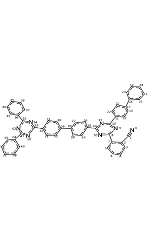 N#Cc1ccccc1-c1nc(-c2ccc(-c3ccccc3)cc2)nc(-c2ccc(-c3ccc(-c4nc(-c5ccccc5)nc(-c5ccccc5)n4)cc3)cc2)n1